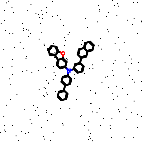 c1ccc(-c2ccc(N(c3cccc(-c4ccc5ccccc5c4)c3)c3ccc4c(c3)oc3ccccc34)cc2)cc1